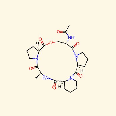 CC(=O)N[C@H]1COC(=O)[C@@H]2CCCN2C(=O)[C@H](C)NC(=O)[C@@H]2CCCCN2C(=O)[C@@H]2CCCN2C1=O